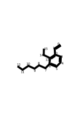 C=Cc1cccc(CCCCCC)c1CC